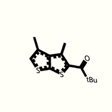 Cc1csc2sc(C(=O)C(C)(C)C)c(C)c12